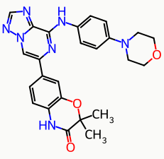 CC1(C)Oc2cc(-c3cn4ncnc4c(Nc4ccc(N5CCOCC5)cc4)n3)ccc2NC1=O